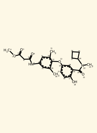 COC(=O)CC(=O)Nc1cc(C)c(Oc2ccc(O)c(C(=O)N(C)C3CCC3)c2)c(C)c1